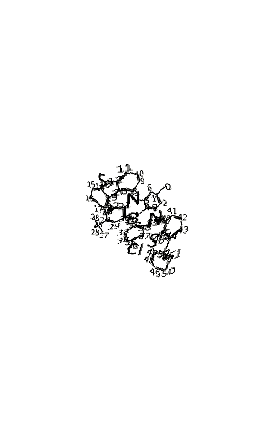 Cc1cc2c3c(c1)N(c1cccc4sc5ccccc5c14)c1ccc(C(C)(C)C)cc1B3c1ccc(Cl)cc1N2c1cccc2c1sc1ccccc12